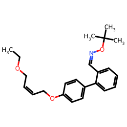 CCOC/C=C\COc1ccc(-c2ccccc2/C=N\OC(C)(C)C)cc1